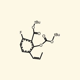 C/C=C\c1ccc(F)c(C(=O)OC(C)(C)C)c1OC(=O)OC(C)(C)C